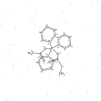 CCC(=O)OP(OC(C)=O)(c1ccccc1)(c1ccccc1)c1ccccc1